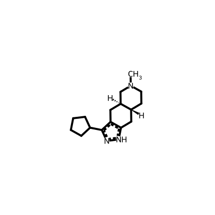 CN1CC[C@@H]2Cc3[nH]nc(C4CCCC4)c3C[C@H]2C1